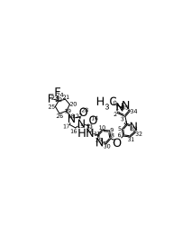 Cn1cc(-c2cc(Oc3ccc(NC(=O)N4CCN(C5CCC(F)(F)CC5)C4=O)nc3)ccn2)cn1